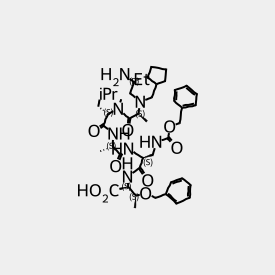 CC[C@@H](N)CN(CC1CCCC1)[C@@H](C)C(=O)N(C)[C@@H](CC(C)C)C(=O)N[C@@H](C)C(=O)N[C@@H](CNC(=O)OCc1ccccc1)C(=O)N[C@H](C(=O)O)[C@H](C)OCc1ccccc1